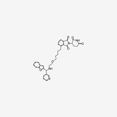 O=C1CCC(N2C(=O)c3cccc(CCCCCOCCNC(c4cccnc4)c4cc5ccccc5o4)c3C2=O)C(=O)N1